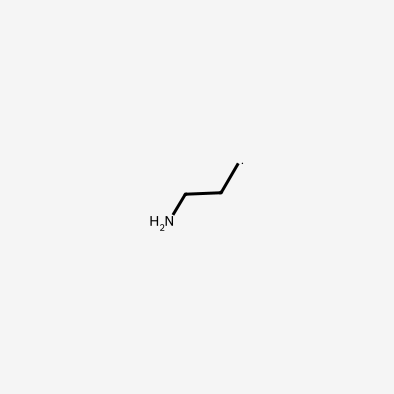 [CH2]CCN